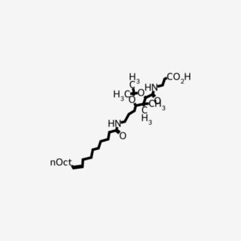 CCCCCCCC/C=C\CCCCCCCC(=O)NCCCC1OC(C)(C)OC(C(=O)NCCC(=O)O)C1(C)C